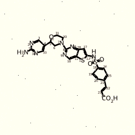 Nc1ncc(C2CN(c3ncc4sc(NS(=O)(=O)c5ccc(C=CC(=O)O)cc5)cc4n3)CCO2)cn1